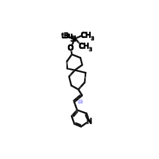 CC(C)(C)[Si](C)(C)OC1CCC2(CCC(/C=C/c3cccnc3)CC2)CC1